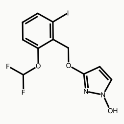 On1ccc(OCc2c(I)cccc2OC(F)F)n1